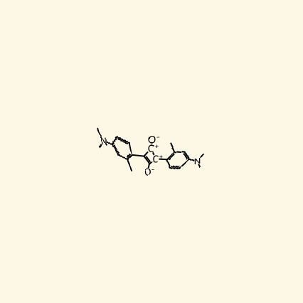 Cc1cc(N(C)C)ccc1-c1c([O-])[c+](-c2ccc(N(C)C)cc2C)[c+]1[O-]